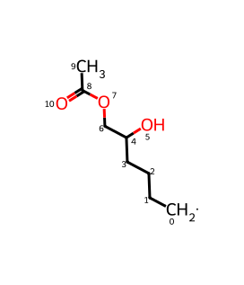 [CH2]CCCC(O)COC(C)=O